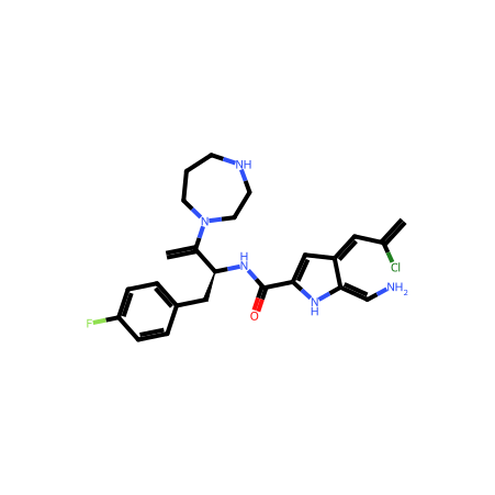 C=C(Cl)/C=c1/cc(C(=O)N[C@@H](Cc2ccc(F)cc2)C(=C)N2CCCNCC2)[nH]/c1=C/N